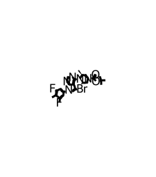 Cc1c(F)cc(-n2cc(Br)c3c(N4CCN(C(=O)OC(C)(C)C)C[C@@H]4C)ncnc32)cc1F